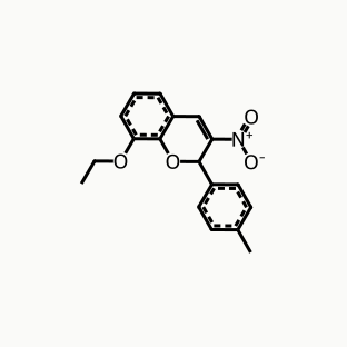 CCOc1cccc2c1OC(c1ccc(C)cc1)C([N+](=O)[O-])=C2